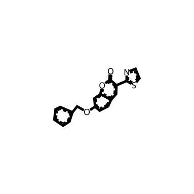 O=c1oc2cc(OCc3ccccc3)ccc2cc1-c1nccs1